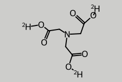 [2H]OC(=O)CN(CC(=O)O[2H])CC(=O)O[2H]